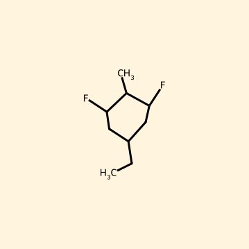 CCC1CC(F)C(C)C(F)C1